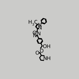 Cc1cc(-c2nc(-c3ccc([C@H](O)COC(=O)C4CCCNC4)cc3)no2)nn1-c1ccccc1